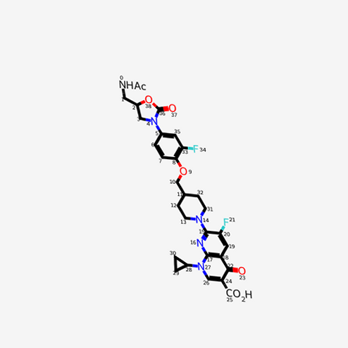 CC(=O)NCC1CN(c2ccc(OCC3CCN(c4nc5c(cc4F)c(=O)c(C(=O)O)cn5C4CC4)CC3)c(F)c2)C(=O)O1